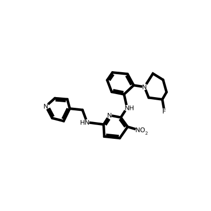 O=[N+]([O-])c1ccc(NCc2ccncc2)nc1Nc1ccccc1N1CCCC(F)C1